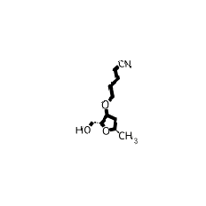 C[C@H]1CC(OCCCCC#N)[C@@H](CO)O1